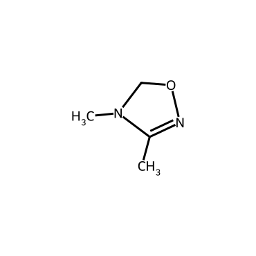 CC1=NOCN1C